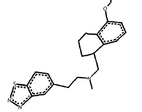 COc1cccc2c1CCCC2CN(C)CCc1ccc2snnc2c1